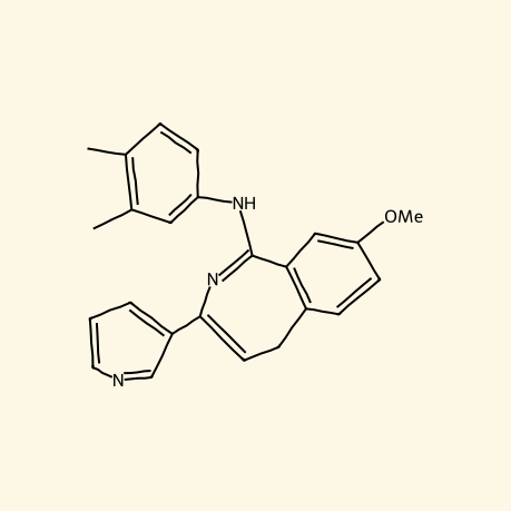 COc1ccc2c(c1)C(Nc1ccc(C)c(C)c1)=NC(c1cccnc1)=CC2